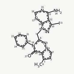 Cc1ccn2nc(Cn3nc(I)c4c(N)ncnc43)n(-c3ccccc3)c(=O)c12